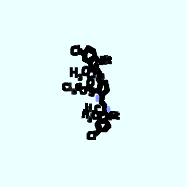 CCN1/C(=C/C=C2\CCC(/C=C/C3=[N+](CC)c4ccc(Cl)cc4C3(C)C)=C2SC(=O)OC(Cl)(Cl)Cl)C(C)(C)c2cc(Cl)ccc21